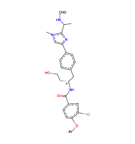 CC(C)Oc1ccc(C(=O)N[C@H](CCO)Cc2ccc(-c3cn(C)c(C(C)NC=O)n3)cc2)cc1Cl